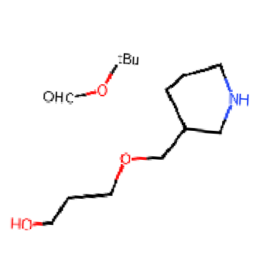 CC(C)(C)OC=O.OCCCOCC1CCCNC1